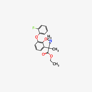 CCOC(=O)C(C)(C#N)c1cccc(Oc2ccccc2F)c1OC